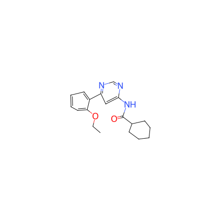 CCOc1ccccc1-c1cc(NC(=O)C2CCCCC2)ncn1